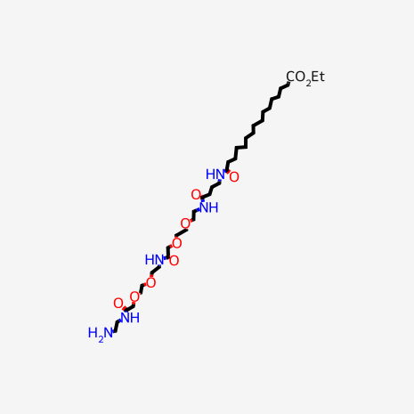 CCOC(=O)CCCCCCCCCCCCCCC(=O)NCCCC(=O)NCCOCCOCC(=O)NCCOCCOCC(=O)NCCN